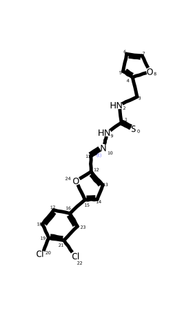 S=C(NCc1ccco1)N/N=C/c1ccc(-c2ccc(Cl)c(Cl)c2)o1